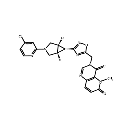 Cn1c(=O)ccc2ncn(Cc3nc([C@H]4[C@@H]5CN(c6cc(Cl)ccn6)C[C@@H]54)no3)c(=O)c21